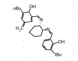 C=C1C=C(/C=N\[C@H]2CCCC[C@@H]2/N=C\c2cccc(C(C)(C)C)c2O)C(O)C(CCCC)=C1